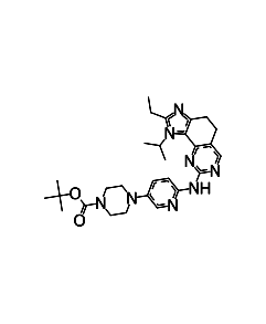 CCc1nc2c(n1C(C)C)-c1nc(Nc3ccc(N4CCN(C(=O)OC(C)(C)C)CC4)cn3)ncc1CC2